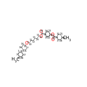 Cc1ccc(C2CCC(OCCCCCCOC(=O)c3ccc(OC(=O)C4CCC(C)CC4)cc3)CC2)cc1